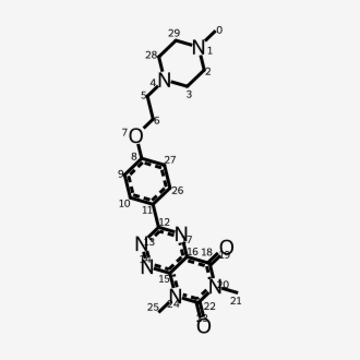 CN1CCN(CCOc2ccc(-c3nnc4c(n3)c(=O)n(C)c(=O)n4C)cc2)CC1